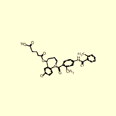 Cc1ccccc1C(=O)Nc1ccc(C(=O)N2CCCC(OC(=O)CCCC(=O)O)c3cc(Cl)ccc32)c(C)c1